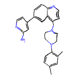 Cc1ccc(N2CCN(c3ccnc4ccc(-c5ccnc(N)c5)cc34)CC2)c(C)c1